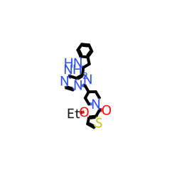 CCOc1ccsc1C(=O)N1CCC(c2nc(C3Cc4ccccc4N3)c3c(N)nccn23)CC1